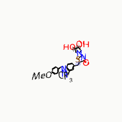 COc1ccc(Cn2ncc3cc(/C=C4\SC(N5C[C@@H](O)[C@H](O)C5)=NC4=O)ccc32)c(C(F)(F)F)c1